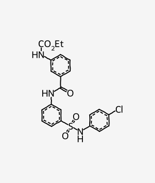 CCOC(=O)Nc1cccc(C(=O)Nc2cccc(S(=O)(=O)Nc3ccc(Cl)cc3)c2)c1